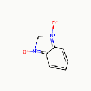 [O-][N+]1=c2ccccc2=[N+]([O-])C1